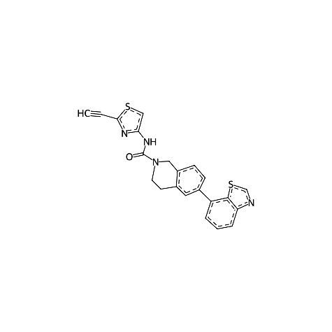 C#Cc1nc(NC(=O)N2CCc3cc(-c4cccc5ncsc45)ccc3C2)cs1